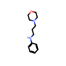 [c]1ccc(NCCCN2CCOCC2)cc1